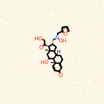 C[C@]12C=CC(=O)C=C1CC[C@@H]1C2[C@@H](O)C[C@@]2(C)C1C[C@@H](CN(O)Cc1ccco1)[C@@H]2C(=O)CO